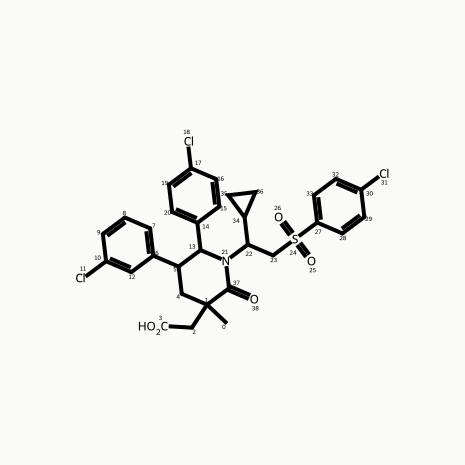 CC1(CC(=O)O)CC(c2cccc(Cl)c2)C(c2ccc(Cl)cc2)N(C(CS(=O)(=O)c2ccc(Cl)cc2)C2CC2)C1=O